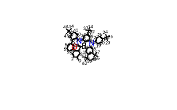 Cc1ccc2oc3c(c2c1)B1c2cc4c(cc2N(c2ccc(C(C)(C)C)cc2)c2cc(C(C)(C)C)cc(c21)N3c1ccc(C(C)(C)C)cc1-c1ccccc1)C(C)(C)CCC4(C)C